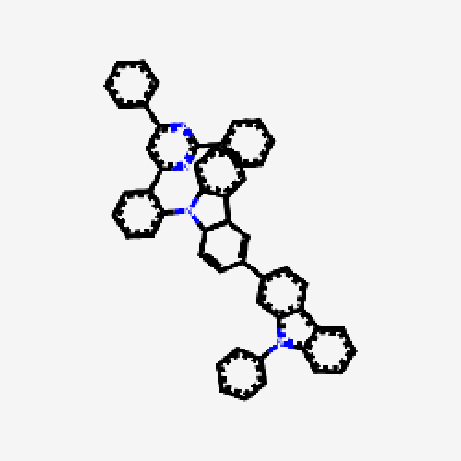 C1=CC2C(C=C1c1ccc3c4ccccc4n(-c4ccccc4)c3c1)c1ccccc1N2c1ccccc1-c1cc(-c2ccccc2)nc(-c2ccccc2)n1